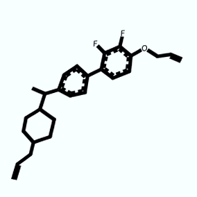 C=CCOc1ccc(-c2ccc(C(C)C3CCC(CC=C)CC3)cc2)c(F)c1F